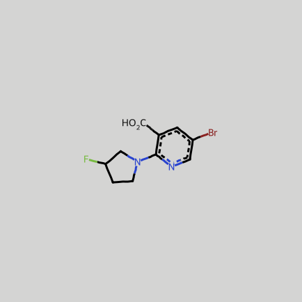 O=C(O)c1cc(Br)cnc1N1CCC(F)C1